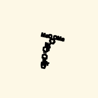 COc1ccc(-c2cn3c(n2)CC[C@@H](C2CCN(C4CC5CCC(C4)N5C(C)C)CC2)C3)cc1OC